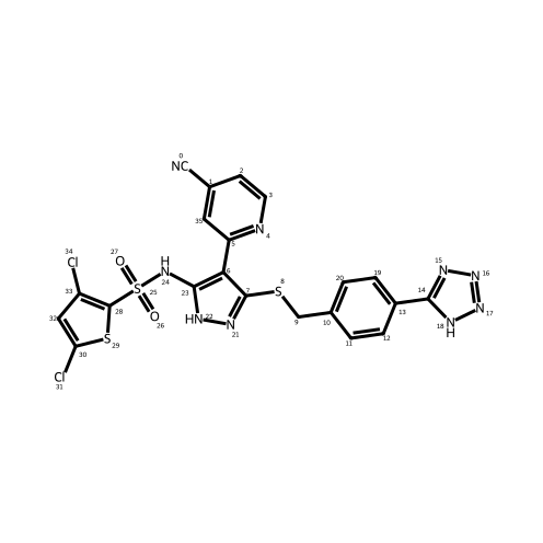 N#Cc1ccnc(-c2c(SCc3ccc(-c4nnn[nH]4)cc3)n[nH]c2NS(=O)(=O)c2sc(Cl)cc2Cl)c1